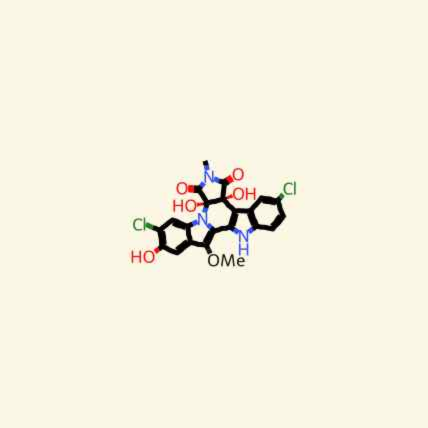 COc1c2n(c3cc(Cl)c(O)cc13)[C@]1(O)C(=O)N(C)C(=O)[C@]1(O)c1c-2[nH]c2ccc(Cl)cc12